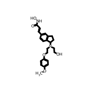 COc1ccc(OCCN(CCO)C2CCc3cc(C=CC(=O)NO)ccc32)cc1